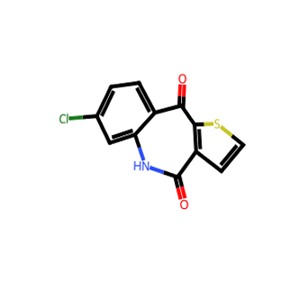 O=c1[nH]c2cc(Cl)ccc2c(=O)c2sccc12